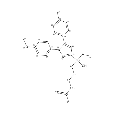 CCC(O)(CCCOC(C)=O)c1cc(-c2ccc(C)cc2)n(-c2ccc(OC)cc2)n1